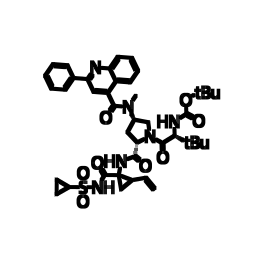 C=CC1CC1(NC(=O)[C@@H]1C[C@@H](N(C)C(=O)c2cc(-c3ccccc3)nc3ccccc23)CN1C(=O)[C@@H](NC(=O)OC(C)(C)C)C(C)(C)C)C(=O)NS(=O)(=O)C1CC1